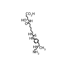 C[C@@H](Cc1ccc(NC(=S)NCCCCCC(=O)N[C@H](O)CCC(=O)O)cc1)NCCN